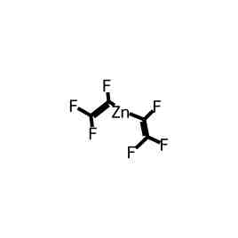 FC(F)=[C](F)[Zn][C](F)=C(F)F